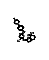 CCC1(O)CCCc2ccc(Nc3nc(Nc4ccc(N5CCN(C)CC5)cc4)ncc3C#N)nc21